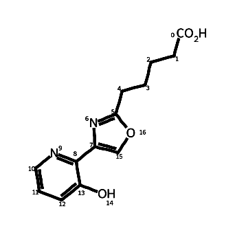 O=C(O)CCCCc1nc(-c2ncccc2O)co1